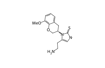 COc1cccc2c1OC[C@H](N1C(=S)[N]C=C1CCN)C2